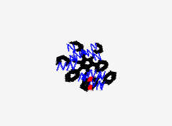 CN1c2ccccc2N(c2cccc(-c3c(-c4nc5cccnc5n4C)c(-c4ccccc4)c(-c4nc5cccnc5n4C)c(-c4nc5cccnc5n4C)c3-c3nc4cccnc4n3C)c2)c2ccccc21